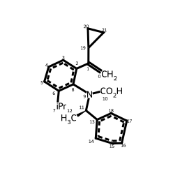 C=C(c1cccc(C(C)C)c1N(C(=O)O)[C@H](C)c1ccccc1)C1CC1